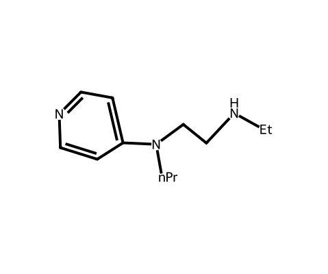 CCCN(CCNCC)c1ccncc1